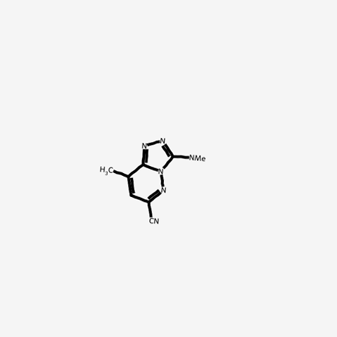 CNc1nnc2c(C)cc(C#N)nn12